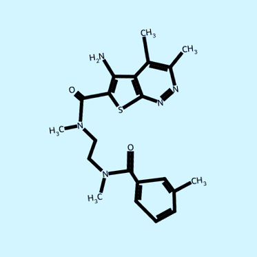 Cc1cccc(C(=O)N(C)CCN(C)C(=O)c2sc3nnc(C)c(C)c3c2N)c1